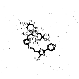 Cc1sc(-c2ccncc2)nc1CCOc1ccc(CC([PH]2(O)N(C)CC(C)(C)CN2C)[PH]2(O)N(C)CC(C)(C)CN2C)s1